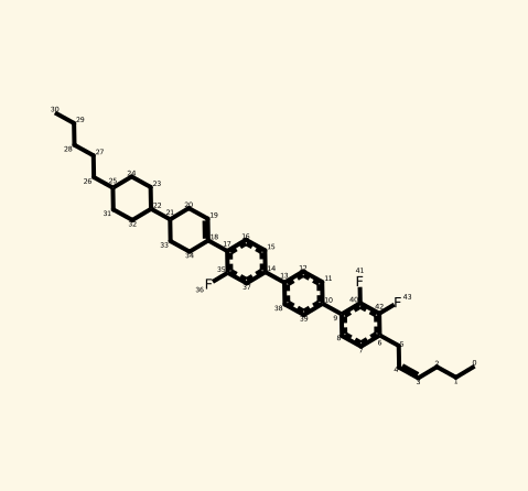 CCC/C=C\Cc1ccc(-c2ccc(-c3ccc(C4=CCC(C5CCC(CCCCC)CC5)CC4)c(F)c3)cc2)c(F)c1F